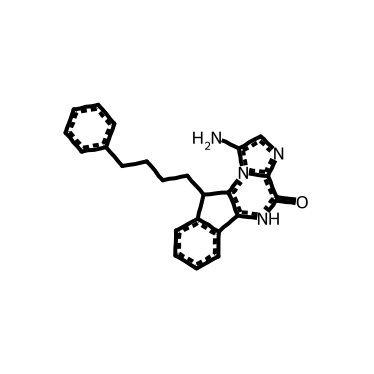 Nc1cnc2c(=O)[nH]c3c(n12)C(CCCCc1ccccc1)c1ccccc1-3